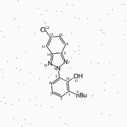 CCCCc1cccc(-n2nc3ccc(Cl)cc3n2)c1O